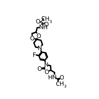 CC(=O)NCC1CN(c2ccc(N3CCC4(CC3)OCC(CNS(C)(=O)=O)O4)c(F)c2)C(=O)O1